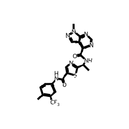 Cc1ccc(NC(=O)c2cnc(C(C)NC(=O)c3ncnc4c3cnn4C)s2)cc1C(F)(F)F